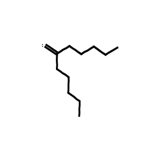 [C]=C(CCCCC)CCCCC